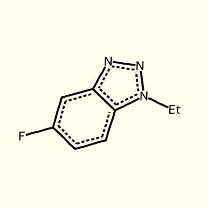 CCn1nnc2cc(F)ccc21